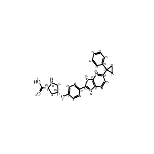 O=C(O)[C@@H]1C[C@@H](Oc2ccc(-c3nc4ccc(C5(c6ccccc6)CC5)nc4s3)cc2)CN1